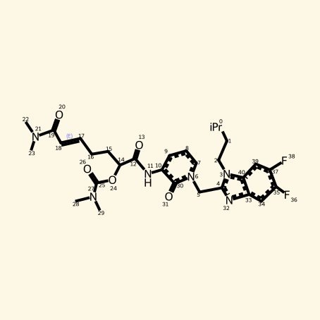 CC(C)CCn1c(Cn2cccc(NC(=O)C(CC/C=C/C(=O)N(C)C)OC(=O)N(C)C)c2=O)nc2cc(F)c(F)cc21